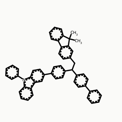 CC1(C)c2ccccc2-c2ccc(CC(c3ccc(-c4ccccc4)cc3)c3ccc(-c4ccc5c(c4)c4ccccc4n5-c4ccccc4)cc3)cc21